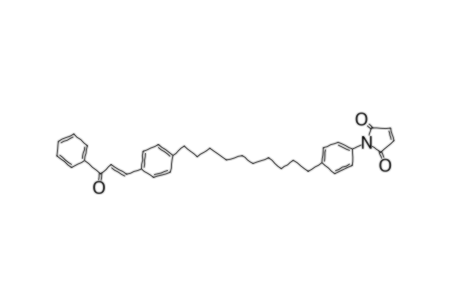 O=C(C=Cc1ccc(CCCCCCCCCCc2ccc(N3C(=O)C=CC3=O)cc2)cc1)c1ccccc1